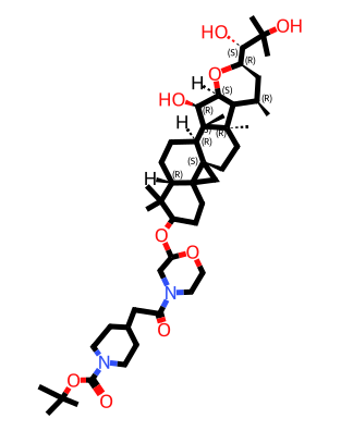 C[C@@H]1C[C@H]([C@H](O)C(C)(C)O)O[C@H]2C1[C@@]1(C)CC[C@@]34CC35CCC(OC3CN(C(=O)CC6CCN(C(=O)OC(C)(C)C)CC6)CCO3)C(C)(C)[C@@H]5CC[C@H]4[C@]1(C)[C@H]2O